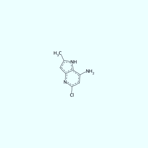 Cc1cc2nc(Cl)cc(N)c2[nH]1